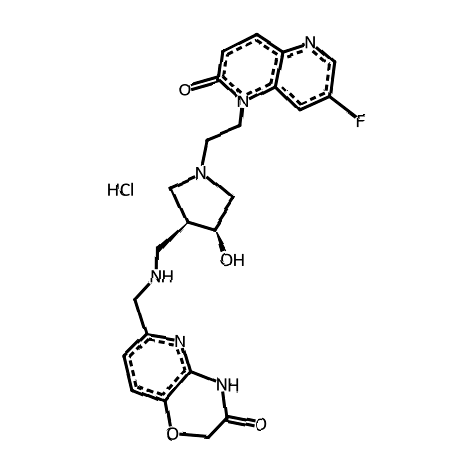 Cl.O=C1COc2ccc(CNC[C@H]3CN(CCn4c(=O)ccc5ncc(F)cc54)C[C@H]3O)nc2N1